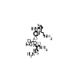 NCCCn1ccnc1Nc1ccc(OC[C@@H](O/N=C(\C(N)=O)c2csc(N)n2)C(=O)O)cn1